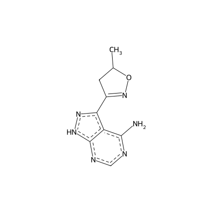 CC1CC(c2n[nH]c3ncnc(N)c23)=NO1